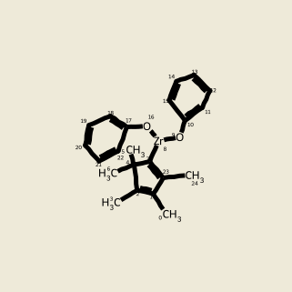 CC1=C(C)C(C)(C)[C]([Zr]([O]c2ccccc2)[O]c2ccccc2)=C1C